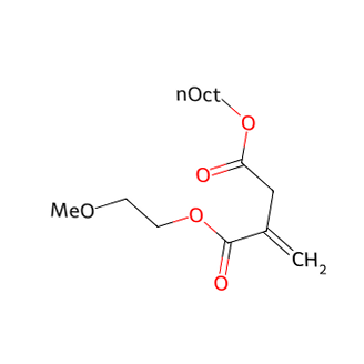 C=C(CC(=O)OCCCCCCCC)C(=O)OCCOC